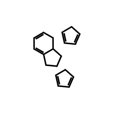 C1=CCC2CCCC2=C1.C1=CCC=C1.C1=CCC=C1